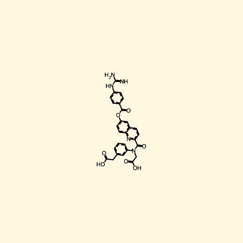 N=C(N)Nc1ccc(C(=O)Oc2ccc3nc(C(=O)N(CC(=O)O)c4cccc(CC(=O)O)c4)ccc3c2)cc1